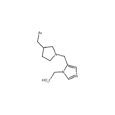 CC(=O)CC1CCN(Cc2cncn2CC(=O)O)C1